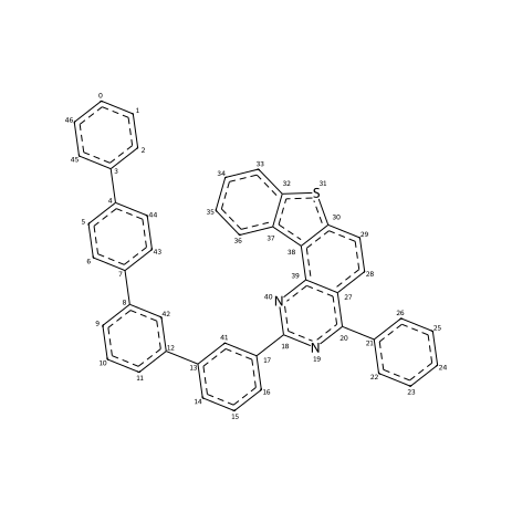 c1ccc(-c2ccc(-c3cccc(-c4cccc(-c5nc(-c6ccccc6)c6ccc7sc8ccccc8c7c6n5)c4)c3)cc2)cc1